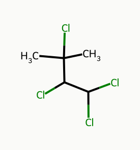 CC(C)(Cl)C(Cl)C(Cl)Cl